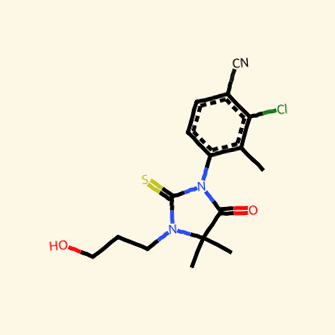 Cc1c(N2C(=O)C(C)(C)N(CCCO)C2=S)ccc(C#N)c1Cl